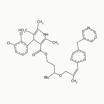 CC(=Cc1ccc(Cc2cccnc2)cc1)COC(CCOC(=O)C1=C(C)NC(C)=C(C(=O)O)C1c1cccc(Cl)c1Cl)C(C)(C)C